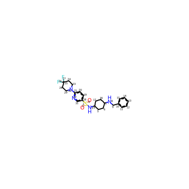 O=S(=O)(NC1CCC(NCc2ccccc2)CC1)c1ccc(N2CCC(F)(F)CC2)nc1